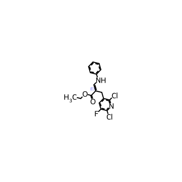 CCOC(=O)/C(=C/Nc1ccccc1)Cc1cc(F)c(Cl)nc1Cl